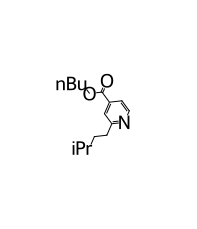 CCCCOC(=O)c1ccnc(CCC(C)C)c1